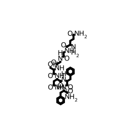 NC(=O)CCC(N)C(=O)NCC(=O)NCC(=O)NC(CO)C(=O)NC(CC(N)=O)C(=O)NC(Cc1ccccc1)C(=O)NC(Cc1ccccc1)C(N)=O